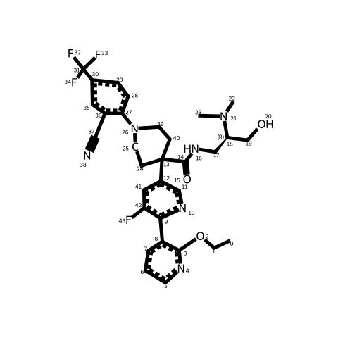 CCOc1ncccc1-c1ncc(C2(C(=O)NC[C@H](CO)N(C)C)CCN(c3ccc(C(F)(F)F)cc3C#N)CC2)cc1F